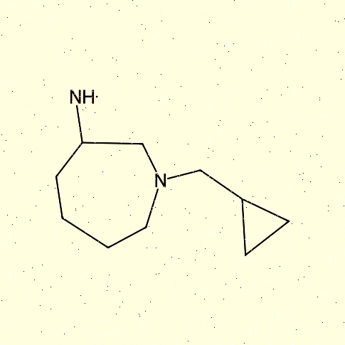 [NH]C1CCCCN(CC2CC2)C1